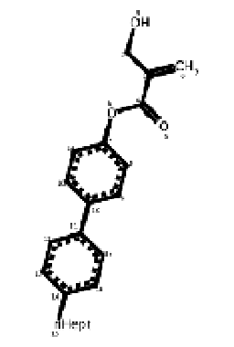 C=C(CO)C(=O)Oc1ccc(-c2ccc(CCCCCCC)cc2)cc1